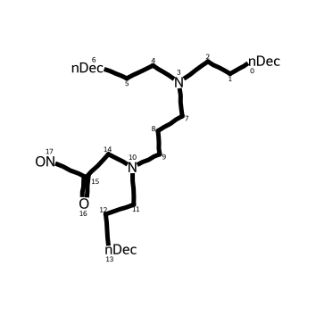 CCCCCCCCCCCCN(CCCCCCCCCCCC)CCCN(CCCCCCCCCCCC)CC(=O)N=O